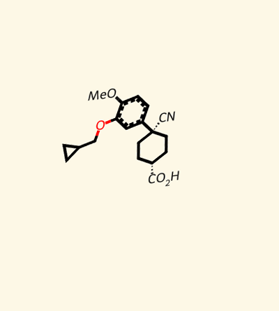 COc1ccc([C@]2(C#N)CC[C@@H](C(=O)O)CC2)cc1OCC1CC1